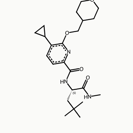 CNC(=O)[C@H](CC(C)(C)C)NC(=O)c1ccc(C2CC2)c(OCC2CCOCC2)n1